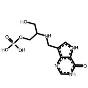 O=c1[nH]cnc2c(CNC(CO)COP(=O)(O)O)c[nH]c12